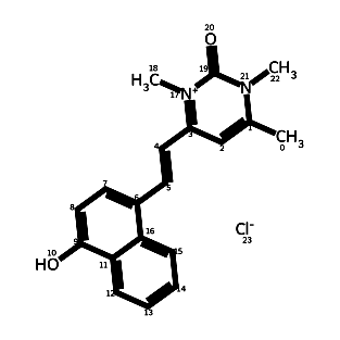 Cc1cc(C=Cc2ccc(O)c3ccccc23)[n+](C)c(=O)n1C.[Cl-]